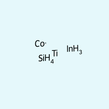 [Co].[InH3].[SiH4].[Ti]